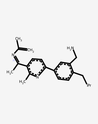 C=C(C)/N=C(/C)c1ccc(-c2ccc(CC(C)C)c(CN)c2)nc1C